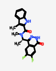 Cc1c(C(=O)N(C)[C@@H](C)c2n[nH]c(=O)c3cc(F)c(F)cc23)[nH]c2ccccc12